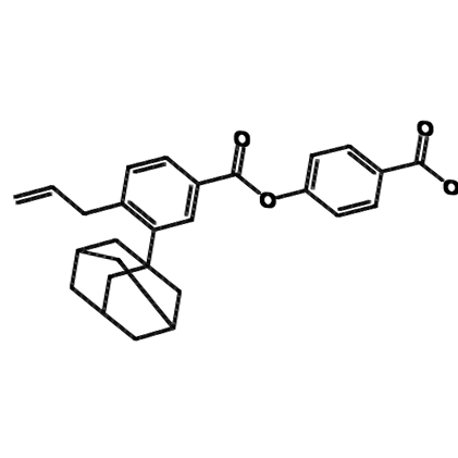 C=CCc1ccc(C(=O)Oc2ccc(C(=O)O)cc2)cc1C12CC3CC(CC(C3)C1)C2